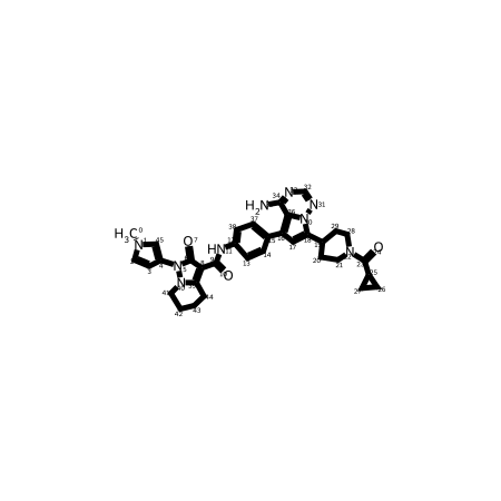 Cn1ccc(-n2c(=O)c(C(=O)Nc3ccc(-c4cc(C5CCN(C(=O)C6CC6)CC5)n5ncnc(N)c45)cc3)c3n2CCCC3)c1